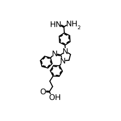 N=C(N)c1ccc(N2CCN(c3ccc(CCC(=O)O)cc3)/C2=N\c2ccccc2)cc1